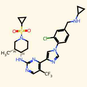 C[C@@H]1CN(S(=O)(=O)C2CC2)CC[C@@H]1Nc1ncc(C(F)(F)F)c(-c2cn(-c3ccc(CNC4CC4)cc3Cl)cn2)n1